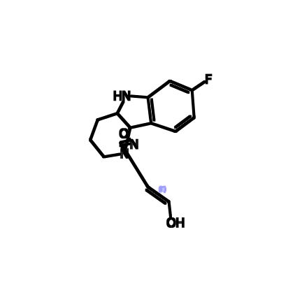 O/C=C/C1=NOC23c4ccc(F)cc4NC2CCCN13